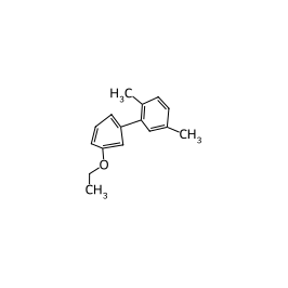 CCOc1cccc(-c2cc(C)ccc2C)c1